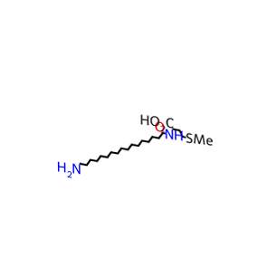 CSCCC(NC(=O)CCCCCCCCCCCCCCCCN)C(=O)O